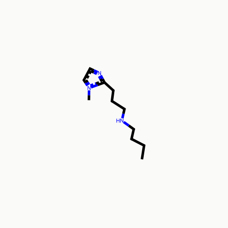 CCCCNCCCc1nccn1C